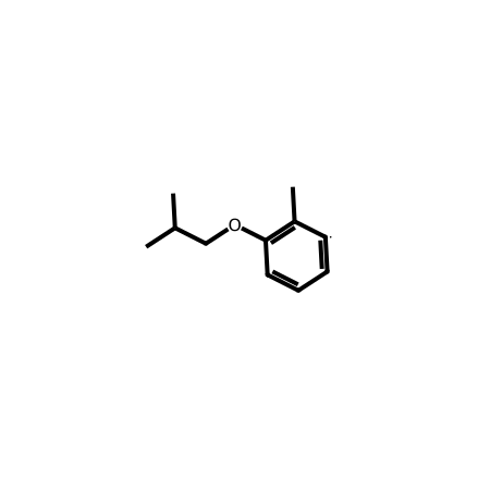 Cc1[c]cccc1OCC(C)C